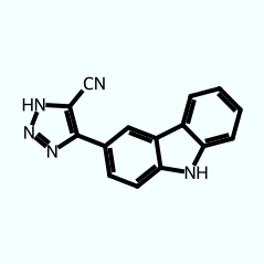 N#Cc1[nH]nnc1-c1ccc2[nH]c3ccccc3c2c1